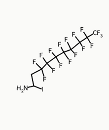 NC(I)CC(F)(F)C(F)(F)C(F)(F)C(F)(F)C(F)(F)C(F)(F)C(F)(F)C(F)(F)F